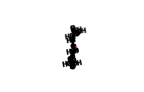 O=C(NCCOc1cccc(C(O)(C(=O)O)c2ccccc2)c1)c1ccc(CCNCC(O)c2ccc(O)c3[nH]c(=O)ccc23)cc1